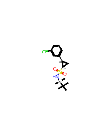 CC(C)(C)[Si](C)(C)NS(=O)(=O)[C@H]1C[C@@H]1c1cccc(Cl)c1